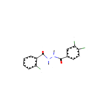 CN(C(=O)c1ccccc1Cl)N(C(=O)c1ccc(Cl)c(Cl)c1)C(C)(C)C